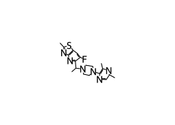 Cc1cnc(N2CCN(C(C)c3nc4nc(C)sc4cc3F)CC2)c(C)n1